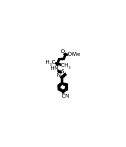 COC(=O)CCC(C)(C)Nc1nc(-c2ccc(C#N)cc2)cs1